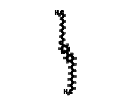 CCCCCCCCCCOc1cnc(-c2ccc(CCCCCCCCCC)cc2)nc1